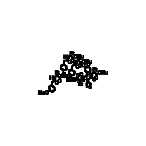 CCC(NC(=O)Cc1ccc(Cl)cc1)C(=O)OCC(C)C.CCC(NC(=O)Cc1ccc([N+](=O)[O-])cc1)C(=O)OCC(C)C.CCC(NC(=O)Cc1ccc2c(c1)OCO2)C(=O)OCC(C)C.CCC(NC(=O)Cc1cccc(OC)c1)C(=O)OCC(C)C.CCC(NC(=O)Cc1ccsc1)C(=O)OCC(C)C